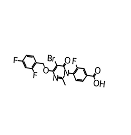 Cc1nc(OCc2ccc(F)cc2F)c(Br)c(=O)n1-c1ccc(C(=O)O)cc1F